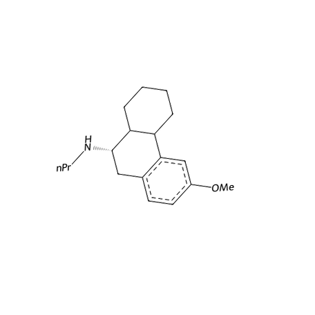 CCCN[C@H]1Cc2ccc(OC)cc2C2CCCCC21